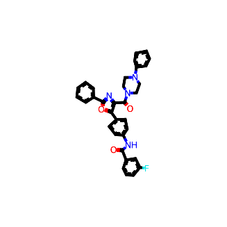 O=C(Nc1ccc(-c2oc(-c3ccccc3)nc2C(=O)N2CCN(c3ccccc3)CC2)cc1)c1cccc(F)c1